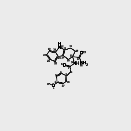 COc1ccc(CC(=O)NC2(C(N)=O)CCc3[nH]c4ccccc4c3C2)cc1